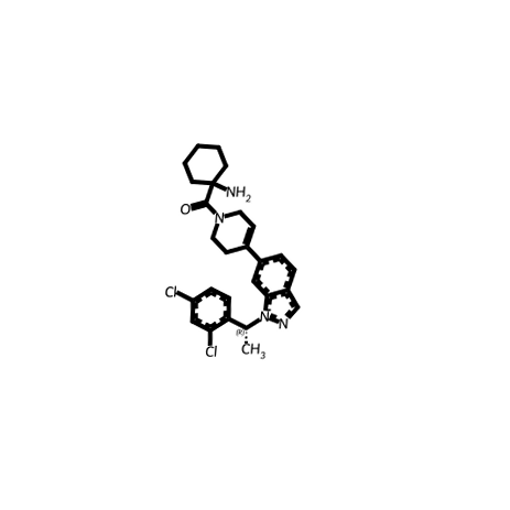 C[C@H](c1ccc(Cl)cc1Cl)n1ncc2ccc(C3=CCN(C(=O)C4(N)CCCCC4)CC3)cc21